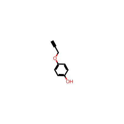 C#CCOc1ccc(O)cc1